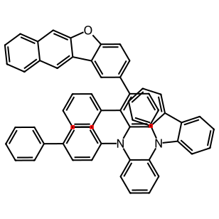 c1ccc(-c2ccc(N(c3ccccc3-n3c4ccccc4c4ccccc43)c3cccc(-c4ccc5oc6cc7ccccc7cc6c5c4)c3-c3ccccc3)cc2)cc1